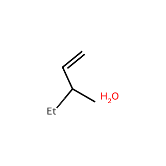 C=CC(C)CC.O